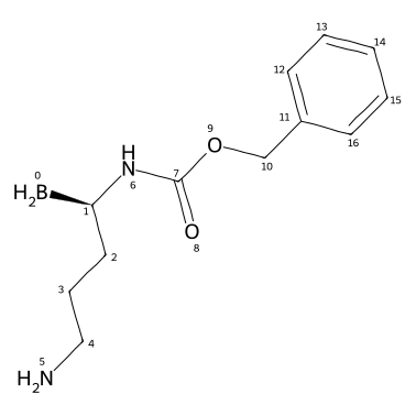 B[C@H](CCCN)NC(=O)OCc1ccccc1